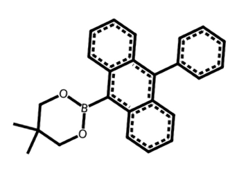 CC1(C)COB(c2c3ccccc3c(-c3ccccc3)c3ccccc23)OC1